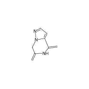 C=C1Cn2nccc2C(=C)N1